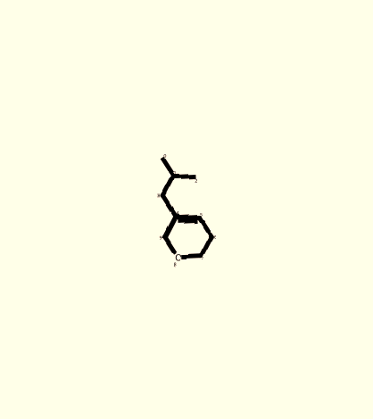 CC(C)CC1=CCCOC1